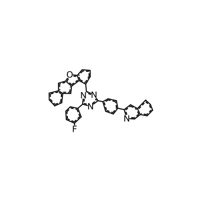 Fc1cccc(-c2nc(-c3ccc(-c4cc5ccccc5cn4)cc3)nc(-c3cccc4oc5cc6ccccc6cc5c34)n2)c1